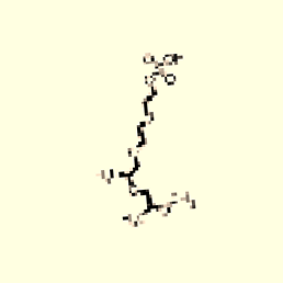 COC(C)COC(C)COCCOCCOS(=O)(=O)O